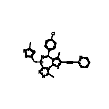 Cc1nnc(C[C@@H]2N=C(c3ccc(Cl)cc3)c3c(sc(C#Cc4ccccn4)c3C)-n3c(C)nnc32)o1